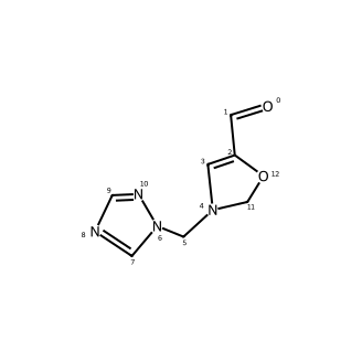 O=CC1=CN(Cn2cncn2)CO1